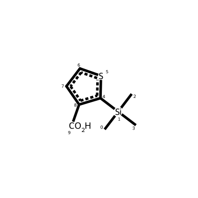 C[Si](C)(C)c1sccc1C(=O)O